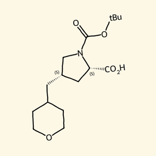 CC(C)(C)OC(=O)N1C[C@@H](CC2CCOCC2)C[C@H]1C(=O)O